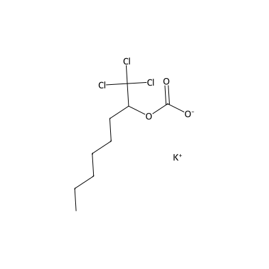 CCCCCCC(OC(=O)[O-])C(Cl)(Cl)Cl.[K+]